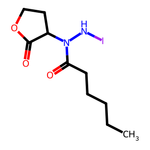 CCCCCC(=O)N(NI)C1CCOC1=O